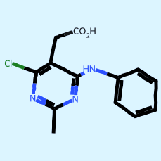 Cc1nc(Cl)c(CC(=O)O)c(Nc2ccccc2)n1